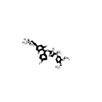 COc1ccc(N(C)c2cnc(SC(c3ccc(F)cc3)c3c(F)cc(C#CC[N+](C)(C)C)cc3F)[nH]2)cc1OC.[I-]